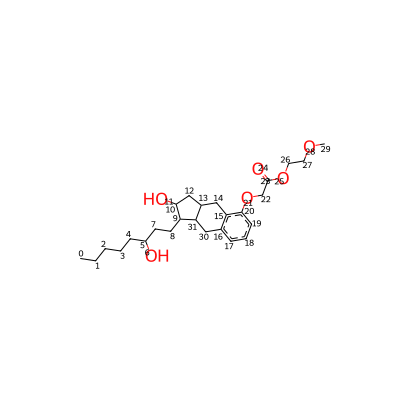 CCCCCC(O)CCC1C(O)CC2Cc3c(cccc3OCC(=O)OCCOC)CC21